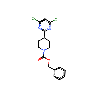 O=C(OCc1ccccc1)N1CCC(c2nc(Cl)cc(Cl)n2)CC1